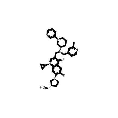 Cc1cc(CN(Cc2cn(C3CC3)c3cc(N4CC[C@H](CO)C4)c(F)cc3c2=O)[C@H]2CCCN(c3cccnc3)C2)ccn1